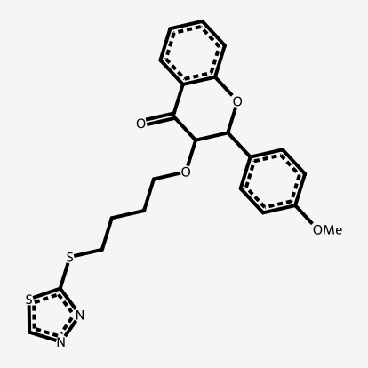 COc1ccc(C2Oc3ccccc3C(=O)C2OCCCCSc2nncs2)cc1